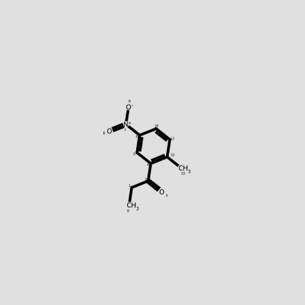 CCC(=O)c1cc([N+](=O)[O-])ccc1C